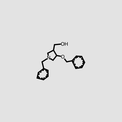 OCC1CN(Cc2ccccc2)CC1OCc1ccccc1